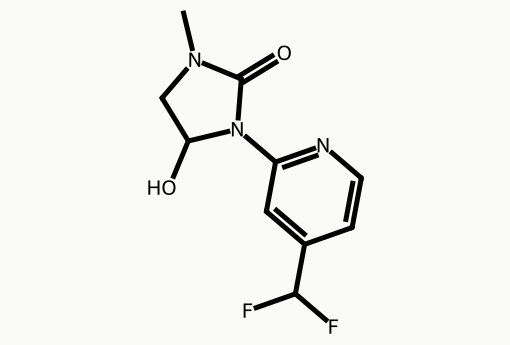 CN1CC(O)N(c2cc(C(F)F)ccn2)C1=O